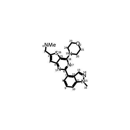 CNCc1cc2nc(-c3cccc4c3cnn4C)nc(N3CCOCC3)c2s1